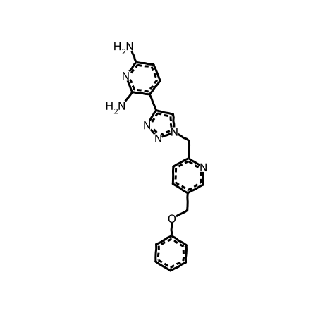 Nc1ccc(-c2cn(Cc3ccc(COc4ccccc4)cn3)nn2)c(N)n1